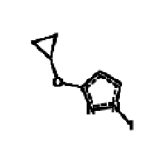 In1ccc(OC2CC2)n1